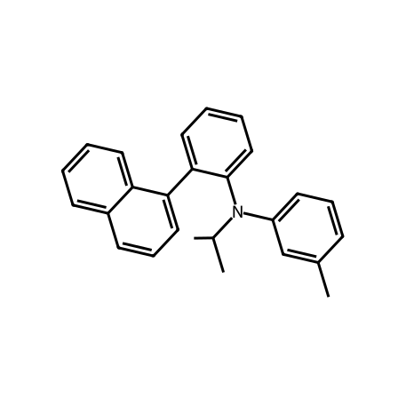 Cc1cccc(N(c2ccccc2-c2cccc3ccccc23)C(C)C)c1